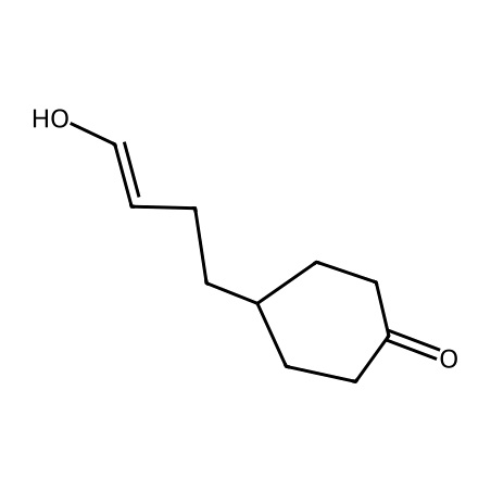 O=C1CCC(CCC=CO)CC1